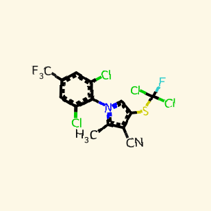 Cc1c(C#N)c(SC(F)(Cl)Cl)cn1-c1c(Cl)cc(C(F)(F)F)cc1Cl